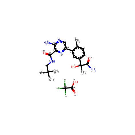 Cc1ccc(C(O)(C(N)=O)C(F)(F)F)cc1-c1cnc(N)c(C(=O)NCC(C)(C)C#N)n1.O=C(O)C(F)(F)F